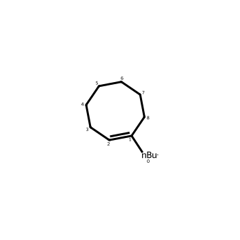 CCC[CH]/C1=C/CCCCCC1